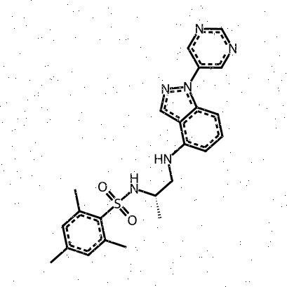 Cc1cc(C)c(S(=O)(=O)N[C@@H](C)CNc2cccc3c2cnn3-c2cncnc2)c(C)c1